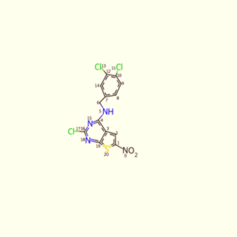 O=[N+]([O-])c1cc2c(NCc3ccc(Cl)c(Cl)c3)nc(Cl)nc2s1